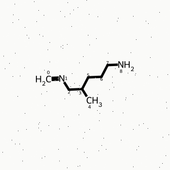 C=NCC(C)CCCN